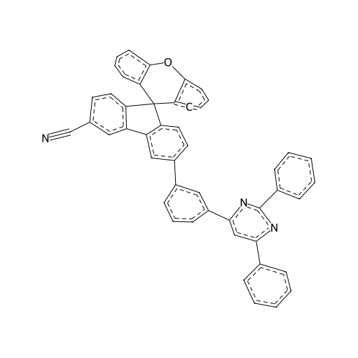 N#Cc1ccc2c(c1)-c1cc(-c3cccc(-c4cc(-c5ccccc5)nc(-c5ccccc5)n4)c3)ccc1C21c2ccccc2Oc2ccccc21